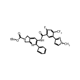 Cn1ccc(-c2cc(C(=O)Nc3cc4c(nc3-c3ccccc3)CN(C(=O)OC(C)(C)C)C4)c(F)cc2C(F)(F)F)n1